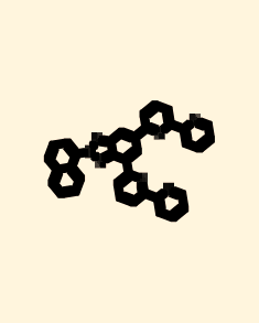 c1ccc(-c2cccc(-c3cc(-c4cccc(-c5ccccn5)n4)c4nn(-c5cccc6ccccc56)nc4c3)n2)nc1